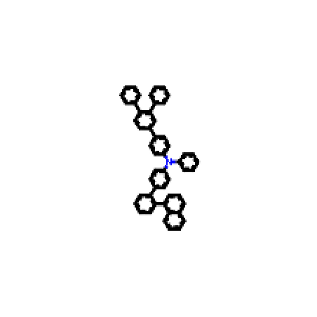 c1ccc(-c2ccc(-c3ccc(N(c4ccccc4)c4ccc(-c5ccccc5-c5cccc6ccccc56)cc4)cc3)cc2-c2ccccc2)cc1